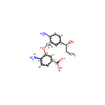 CCC(O)c1ccc(N)cc1.COc1cc(C(=O)O)ccc1N